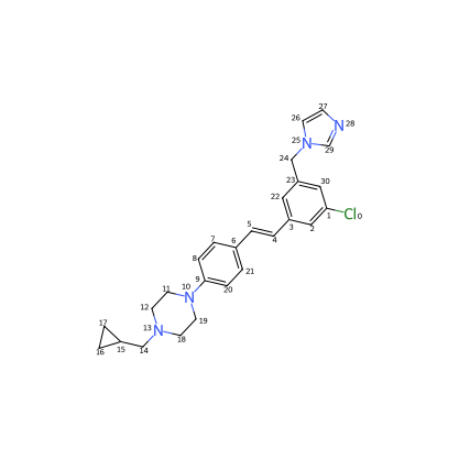 Clc1cc(C=Cc2ccc(N3CCN(CC4CC4)CC3)cc2)cc(Cn2ccnc2)c1